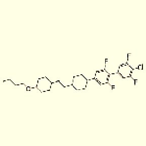 CCCCOC1CCC(CCC2CCC(c3cc(F)c(-c4cc(F)c(Cl)c(F)c4)c(F)c3)CC2)CC1